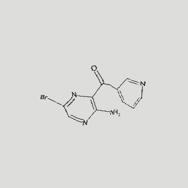 Nc1ncc(Br)nc1C(=O)c1cccnc1